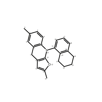 Cc1ccc2c(c1)Cc1cc(C)oc1N2c1cccc2c1CCCC2